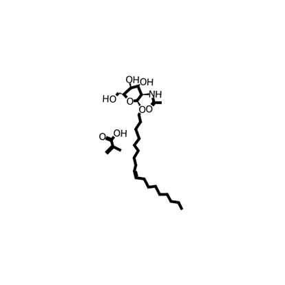 C=C(C)C(=O)O.CCCCCCCC/C=C\CCCCCCCCO[C@H]1O[C@H](CO)[C@@H](O)[C@H](O)[C@H]1NC(C)=O